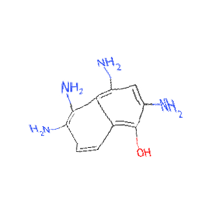 Nc1cc(N)c2c(N)c(N)ccc2c1O